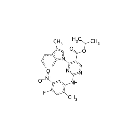 Cc1cc(F)c([N+](=O)[O-])cc1Nc1ncc(C(=O)OC(C)C)c(-n2cc(C)c3ccccc32)n1